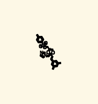 Cc1ccc(S(=O)(=O)OC[C@H]2CO[C@](CCc3cc(C)cc(C)c3)(Cn3ccnc3)O2)cc1